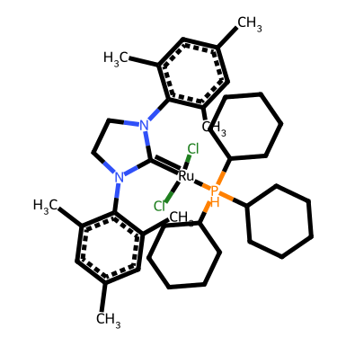 Cc1cc(C)c(N2CCN(c3c(C)cc(C)cc3C)[C]2=[Ru]([Cl])([Cl])[PH](C2CCCCC2)(C2CCCCC2)C2CCCCC2)c(C)c1